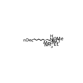 CCCCCCCCCCCCCCCCCCN[Si](OC)(OC)C(Cl)CC.N